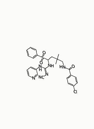 CC(C)(CNC(=O)c1ccc(Cl)cc1)CC(NC(=NC#N)Nc1cccnc1)S(=O)(=O)c1ccccc1